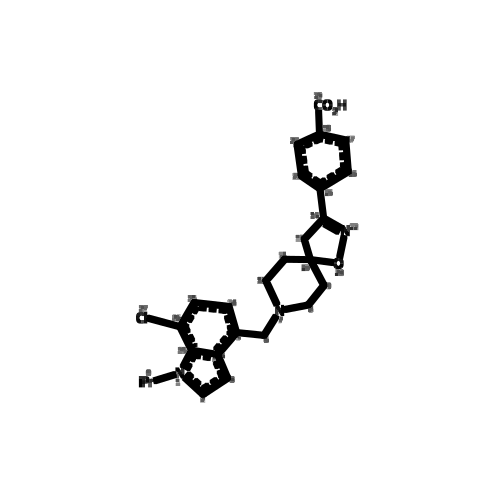 CC(C)n1ccc2c(CN3CCC4(CC3)CC(c3ccc(C(=O)O)cc3)=NO4)ccc(Cl)c21